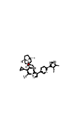 Cc1[nH]nc(-c2ccc(-c3cnn4c(N)c(C5CC5)c([C@@H]5C[C@H]6CC[C@@H](C5)N6C(=O)CO)nc34)cn2)c1F